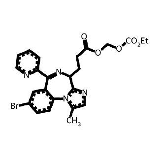 CCOC(=O)OCOC(=O)CCC1N=C(c2ccccn2)c2cc(Br)ccc2-n2c(C)cnc21